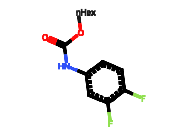 [CH2]CCCCCOC(=O)Nc1ccc(F)c(F)c1